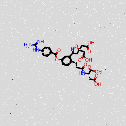 N=C(N)Nc1ccc(C(=O)Oc2ccc(CCC(=O)N[C@@H](CC(=O)O)C(=O)O)c(C3=NOC(CC(=O)O)(CC(=O)O)C3)c2)cc1